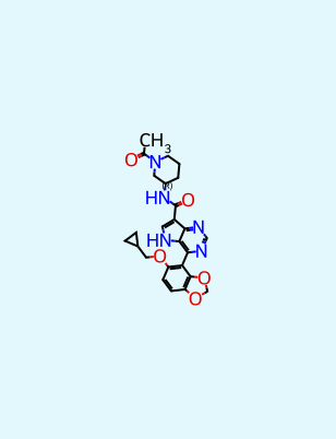 CC(=O)N1CCC[C@@H](NC(=O)c2c[nH]c3c(-c4c(OCC5CC5)ccc5c4OCO5)ncnc23)C1